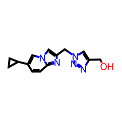 OCc1cn(Cc2cn3cc(C4CC4)ccc3n2)nn1